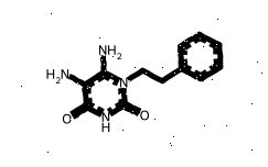 Nc1c(N)n(CCc2ccccc2)c(=O)[nH]c1=O